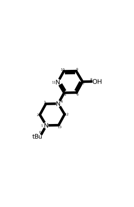 CC(C)(C)N1CCN(c2cc(O)ccn2)CC1